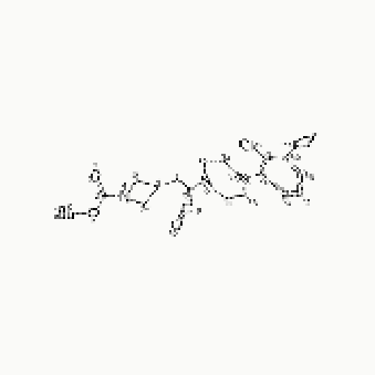 CC(C)(C)OC(=O)N1CC(CC(=C=O)N2CCN(c3cccc(Cl)c3Cl)CC2)C1